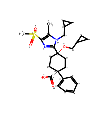 Cc1c(S(C)(=O)=O)nc([C@]2(OCC3CC3)CC[C@](C(=O)O)(c3ccccc3)CC2)n1CC1CC1